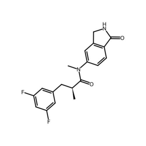 C[C@@H](Cc1cc(F)cc(F)c1)C(=O)N(C)c1ccc2c(c1)CNC2=O